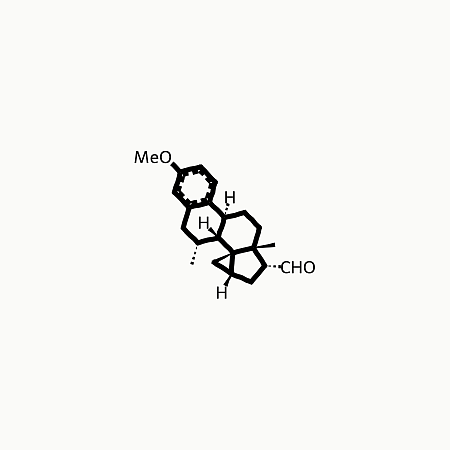 COc1ccc2c(c1)C[C@@H](C)[C@@H]1[C@@H]2CC[C@]2(C)[C@H](C=O)C[C@@H]3C[C@@]312